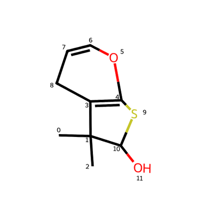 CC1(C)C2=C(OC=CC2)SC1O